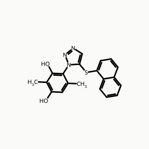 Cc1cc(O)c(C)c(O)c1-n1nncc1Sc1cccc2ccccc12